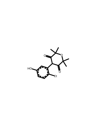 CCc1ccc(O)cc1C1C(=O)C(C)(C)OC(C)(C)C1=O